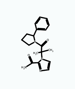 CC(C)(C(=O)N1CCCC1c1ccccc1)n1c[c]nc1C(N)=O